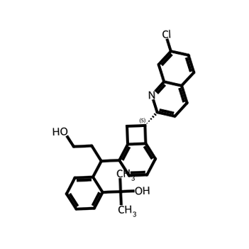 CC(C)(O)c1ccccc1C(CCO)c1cccc2c1C[C@@H]2c1ccc2ccc(Cl)cc2n1